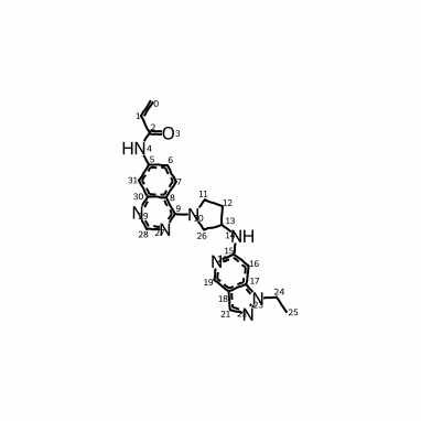 C=CC(=O)Nc1ccc2c(N3CCC(Nc4cc5c(cn4)cnn5CC)C3)ncnc2c1